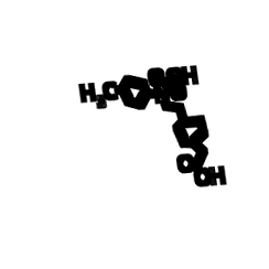 Cc1ccc(N(CCc2ccc(CC(=O)O)cc2)S(=O)(=O)O)cc1